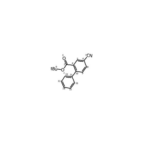 CC(C)(C)OC(=O)c1cc(C#N)ccc1-c1ccccc1